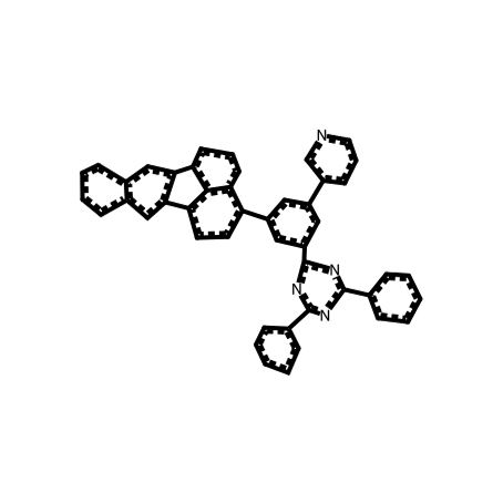 c1ccc(-c2nc(-c3ccccc3)nc(-c3cc(-c4cccnc4)cc(-c4ccc5c6c(cccc46)-c4cc6ccccc6cc4-5)c3)n2)cc1